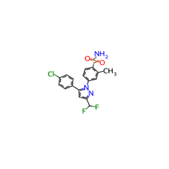 Cc1cc(-n2nc(C(F)F)cc2-c2ccc(Cl)cc2)ccc1S(N)(=O)=O